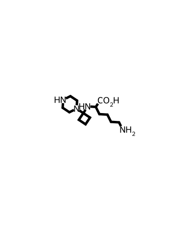 NCCCCC(NC1(N2CCNCC2)CCC1)C(=O)O